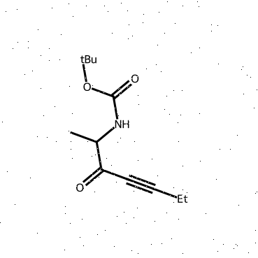 CCC#CC(=O)C(C)NC(=O)OC(C)(C)C